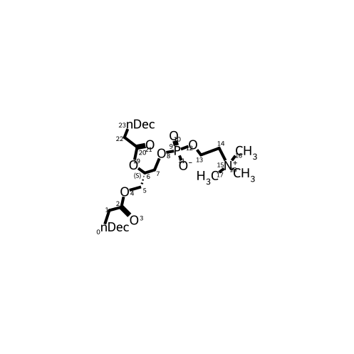 CCCCCCCCCCCC(=O)OC[C@@H](COP(=O)([O-])OCC[N+](C)(C)C)OC(=O)CCCCCCCCCCC